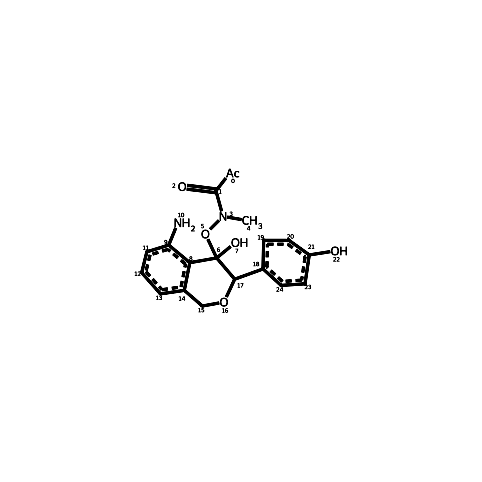 CC(=O)C(=O)N(C)OC1(O)c2c(N)cccc2COC1c1ccc(O)cc1